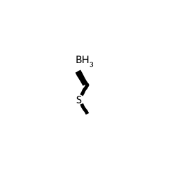 B.C=CSC